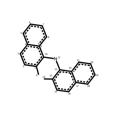 Cc1ccc2ccccc2c1[N]c1c(C)ccc2ccccc12